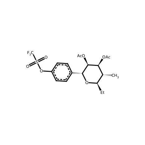 CC[C@H]1O[C@H](c2ccc(OS(=O)(=O)C(F)(F)F)cc2)[C@@H](OC(C)=O)[C@@H](OC(C)=O)[C@@H]1C